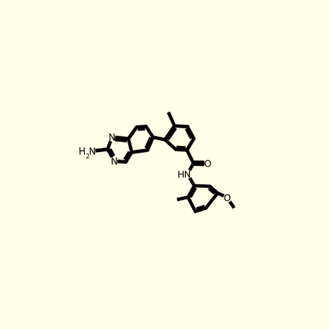 COc1ccc(C)c(NC(=O)c2ccc(C)c(-c3ccc4nc(N)ncc4c3)c2)c1